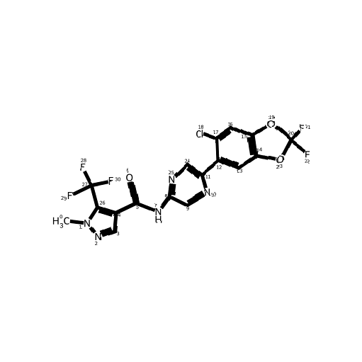 Cn1ncc(C(=O)Nc2cnc(-c3cc4c(cc3Cl)OC(F)(F)O4)cn2)c1C(F)(F)F